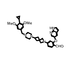 COc1cc(CN2CCN(C3CC4(C3)CN(c3ccc(C=O)c(Oc5cnc6[nH]ccc6c5)c3)C4)CC2)cc(OC)c1C1CC1